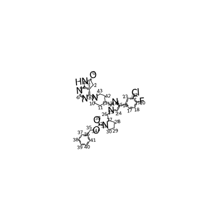 O=C1Cc2c(ncnc2N2CCC(c3nc(-c4ccc(F)c(Cl)c4)cn3CC3CCCN3C(=O)OCc3ccccc3)CC2)N1